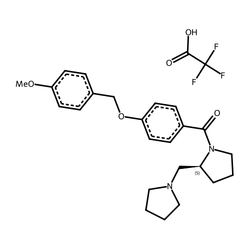 COc1ccc(COc2ccc(C(=O)N3CCC[C@H]3CN3CCCC3)cc2)cc1.O=C(O)C(F)(F)F